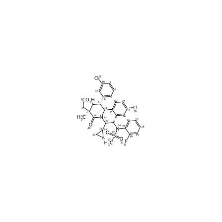 C[C@]1(CC(=O)O)C[C@H](c2cccc(Cl)c2)[C@@H](c2ccc(Cl)cc2)N(C(CN(c2ccccc2F)S(C)(=O)=O)C2CC2)C1=O